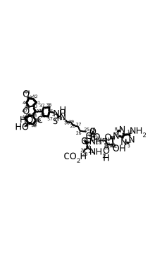 Nc1ncnc2c1ncn2[C@@H]1O[C@H](COP(=O)(NC(=O)[C@@H](N)CC(=O)O)OCCCCCCNC(=S)Nc2ccc(-c3c4ccc(=O)cc-4oc4cc(O)ccc34)c(C(=O)O)c2)[C@@H](O)[C@H]1O